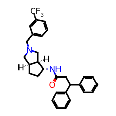 O=C(CC(c1ccccc1)c1ccccc1)N[C@@H]1CC[C@H]2CN(Cc3cccc(C(F)(F)F)c3)C[C@H]21